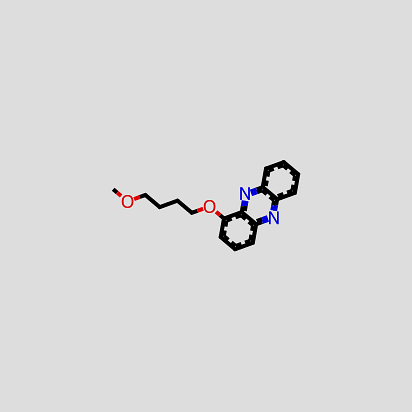 COCCCCOc1cccc2nc3ccccc3nc12